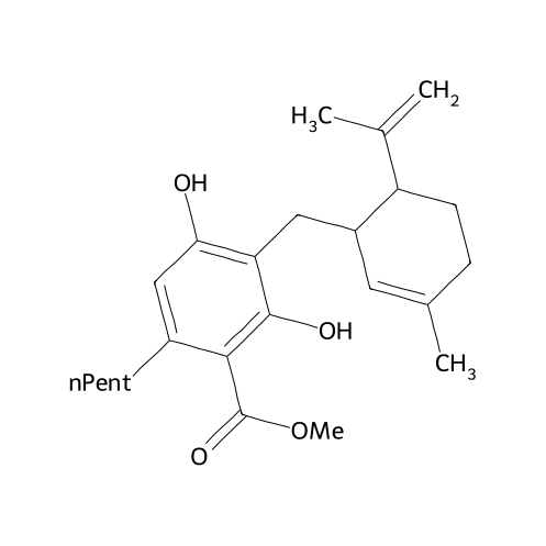 C=C(C)C1CCC(C)=CC1Cc1c(O)cc(CCCCC)c(C(=O)OC)c1O